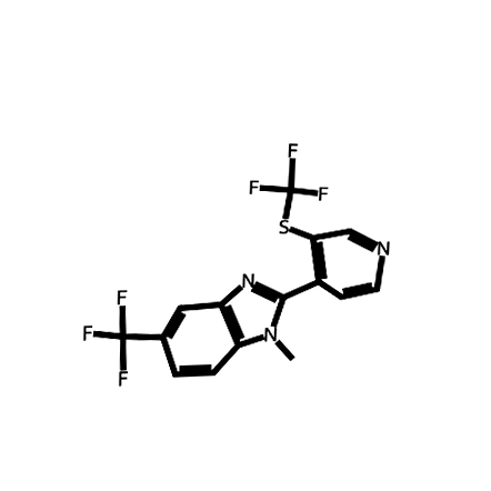 Cn1c(-c2ccncc2SC(F)(F)F)nc2cc(C(F)(F)F)ccc21